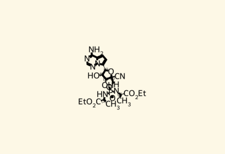 CCOC(=O)[C@H](C)NP(=O)(N[C@@H](C)C(=O)OCC)OC[C@@]1(C#N)O[C@@H](c2ccc3c(N)ncnn23)[C@H](O)[C@@H]1O